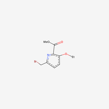 CCOc1ccc(CBr)nc1C(=O)OC